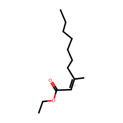 CCCCCCC/C(C)=C\C(=O)OCC